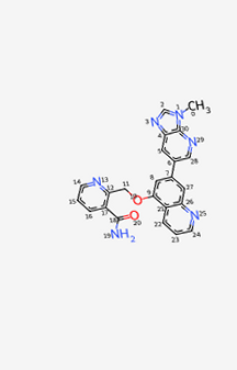 Cn1cnc2cc(-c3cc(OCc4ncccc4C(N)=O)c4cccnc4c3)cnc21